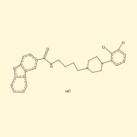 Cl.O=C(NCCCCN1CCN(c2cccc(Cl)c2Cl)CC1)c1ccc2oc3ccccc3c2c1